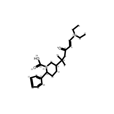 CCN(/C=C/C(=O)CC(C)(C)C1CCC(c2ccccc2)N(C(=O)O)C1)CC